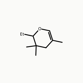 CCC1OC=C(C)CC1(C)C